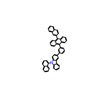 c1cc(-c2ccc3c(c2)c2ccccc2n3-c2cccc3ccccc23)cc(-c2c3ccccc3c(-c3ccc4ccccc4c3)c3ccccc23)c1